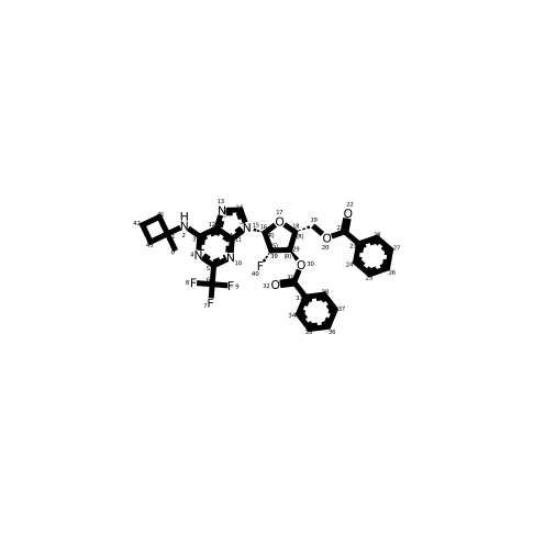 CC1(Nc2nc(C(F)(F)F)nc3c2ncn3[C@@H]2O[C@H](COC(=O)c3ccccc3)[C@@H](OC(=O)c3ccccc3)[C@@H]2F)CCC1